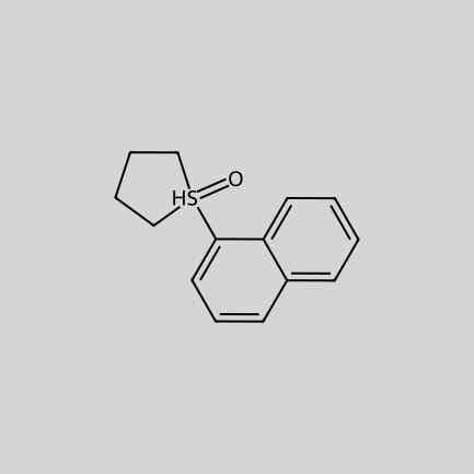 O=[SH]1(c2cccc3ccccc23)CCCC1